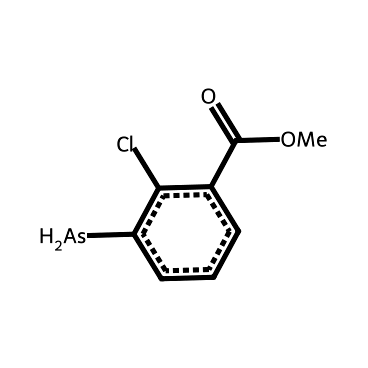 COC(=O)c1cccc([AsH2])c1Cl